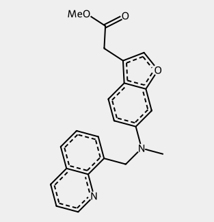 COC(=O)Cc1coc2cc(N(C)Cc3cccc4cccnc34)ccc12